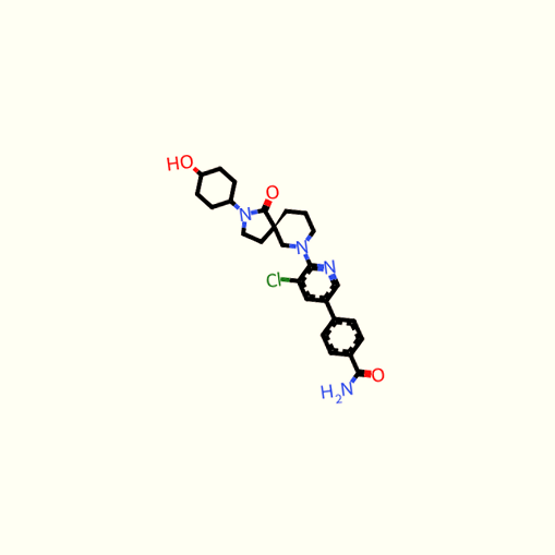 NC(=O)c1ccc(-c2cnc(N3CCC[C@]4(CCN(C5CCC(O)CC5)C4=O)C3)c(Cl)c2)cc1